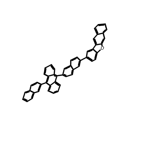 c1ccc2cc(-c3c4ccccc4c(-c4ccc5cc(-c6ccc7oc8cc9ccccc9cc8c7c6)ccc5c4)c4ccccc34)ccc2c1